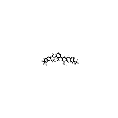 Cn1cc(-c2ccnc(N3CCn4c(cc5c4CC(C)(C)C5)C3=O)c2CO)cc(Nc2ccc(C(F)(F)F)nn2)c1=O